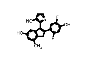 Cc1cc(O)cc2c1CC(c1cc(F)c(O)cc1F)=C2c1sccc1C#N